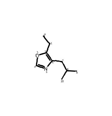 CCc1ocnc1CC(C)C